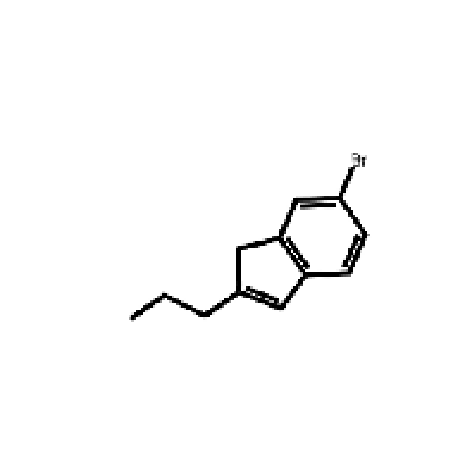 CCCC1=Cc2ccc(Br)cc2C1